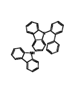 c1ccc(-c2ccccc2-n2c3ccccc3c3ccccc32)cc1.c1ccc2c(c1)[nH]c1ccccc12